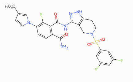 NC(=O)c1ccc(-n2ccc(C(=O)O)c2)c(F)c1C(=O)Nc1n[nH]c2c1CN(S(=O)(=O)c1cc(F)cc(F)c1)CC2